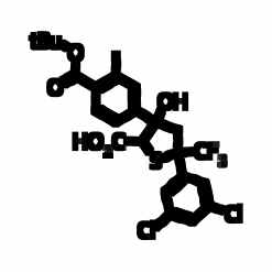 Cc1cc(C2(O)CC(c3cc(Cl)cc(Cl)c3)(C(F)(F)F)SC2C(=O)O)ccc1C(=O)OC(C)(C)C